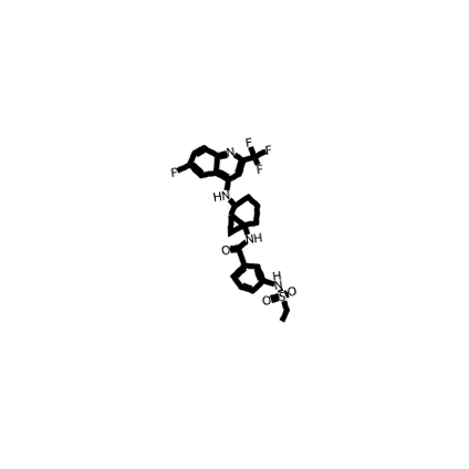 CCS(=O)(=O)Nc1cccc(C(=O)NC23CCCC(Nc4cc(C(F)(F)F)nc5ccc(F)cc45)C2C3)c1